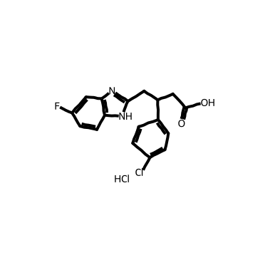 Cl.O=C(O)CC(Cc1nc2cc(F)ccc2[nH]1)c1ccc(Cl)cc1